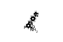 NC(=O)c1cc(F)cc2cn(-c3ccc(-n4cccn4)cc3)nc12